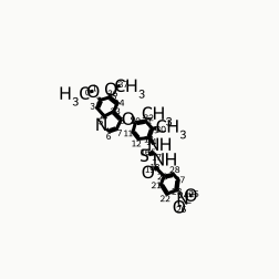 COc1cc2nccc(Oc3ccc(NC(=S)NC(=O)c4ccc([N+](=O)[O-])cc4)c(C)c3C)c2cc1OC